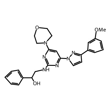 COc1cccc(-c2ccn(-c3cc(N4CCOCC4)nc(NCC(O)c4ccccc4)n3)n2)c1